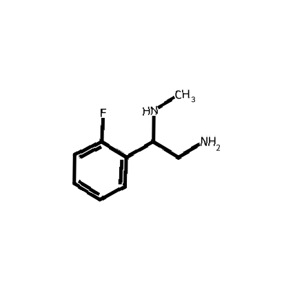 CNC(CN)c1ccccc1F